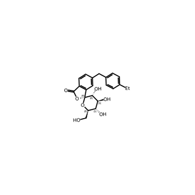 CCc1ccc(Cc2ccc3c(c2)[C@]2(OC3=O)O[C@H](CO)[C@@H](O)[C@H](O)[C@H]2O)cc1